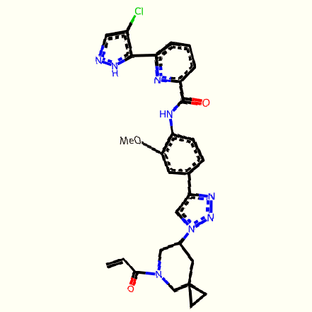 C=CC(=O)N1CC(n2cc(-c3ccc(NC(=O)c4cccc(-c5[nH]ncc5Cl)n4)c(OC)c3)nn2)CC2(CC2)C1